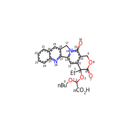 CCCCOC(OC1(CC)C(=O)OCc2c1cc1n(c2=O)Cc2cc3ccccc3nc2-1)C(=O)O